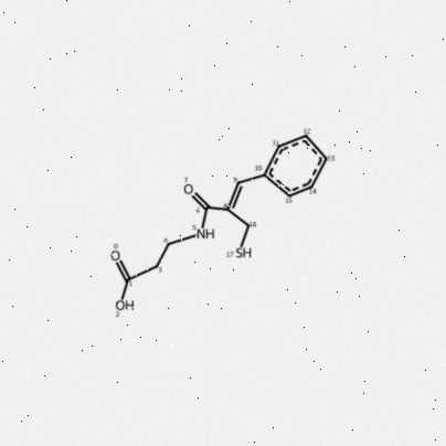 O=C(O)CCNC(=O)/C(=C/c1ccccc1)CS